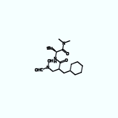 CN(C)C(=O)[C@@H](NC(=O)C(CC1CCCCC1)CN(O)C=O)C(C)(C)C